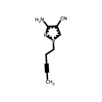 CC#CCCn1cc(C#N)c(N)n1